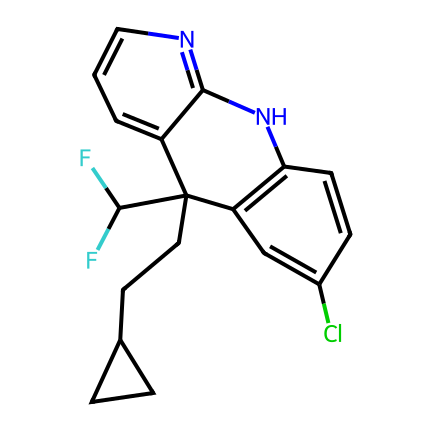 FC(F)C1(CCC2CC2)c2cc(Cl)ccc2Nc2ncccc21